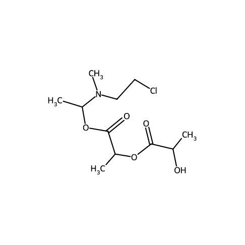 CC(O)C(=O)OC(C)C(=O)OC(C)N(C)CCCl